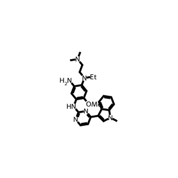 CCN(CCN(C)C)c1cc(OC)c(Nc2nccc(-c3cn(C)c4ccccc34)n2)cc1N